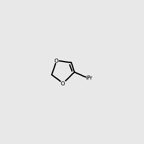 CC(C)C1=COCO1